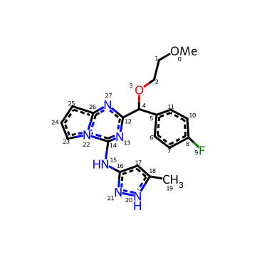 COCCOC(c1ccc(F)cc1)c1nc(Nc2cc(C)[nH]n2)n2cccc2n1